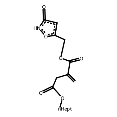 C=C(CC(=O)OCCCCCCC)C(=O)OCc1cc(=O)[nH]o1